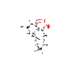 Cc1cc(O)c2c(O)cc(C[Si](C)(C)C)cc2c1